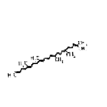 C/[C]=C/CC/C(C)=C/CC/C(C)=C/CC/C=C(\C)CC/C=C(\C)CCC=C(C)C